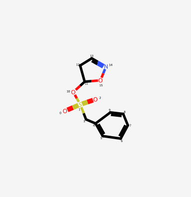 O=S(=O)(Cc1ccccc1)OC1CC=NO1